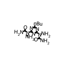 CCCCc1nc(N(N)C(N)=O)nc(N(N)C(N)=O)n1